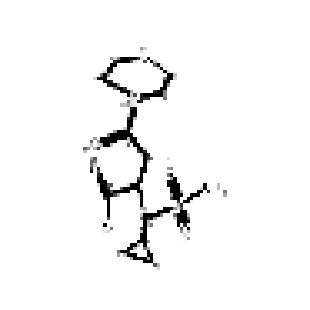 CS(=O)(=O)[C@@H](C1CC1)C(CC(=O)N1CCOCC1)C(=O)O